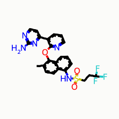 Cc1ccc2c(NS(=O)(=O)CCC(F)(F)F)cccc2c1Oc1ncccc1-c1ccnc(N)n1